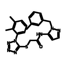 Cc1cccc(Cn2nccc2NC(=O)CSc2nnnn2-c2cccc(C)c2C)c1